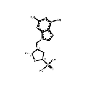 Nc1nc(O)c2ncn(C[C@H]3C[C@@H](P(=O)(O)O)O[C@@H]3F)c2n1